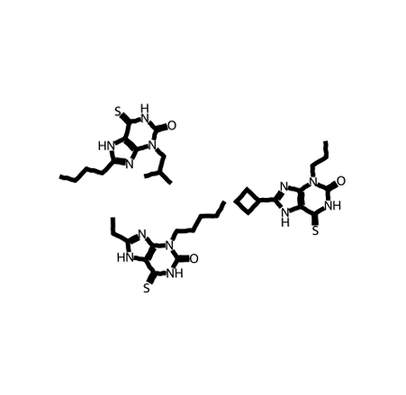 CCCCCn1c(=O)[nH]c(=S)c2[nH]c(CC)nc21.CCCCc1nc2c([nH]1)c(=S)[nH]c(=O)n2CC(C)C.CCCn1c(=O)[nH]c(=S)c2[nH]c(C3CCC3)nc21